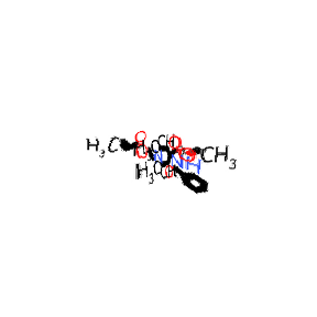 CC=CC(=O)OCCN1C(C)(C)CC(NC(=O)c2ccccc2)(C(=O)OCC)CC1(C)C